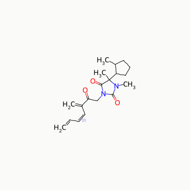 C=C/C=C\C(=C)C(=O)CN1C(=O)N(C)C(C)(C2CCCC2C)C1=O